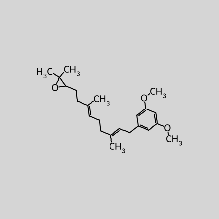 COc1cc(C/C=C(\C)CC/C=C(\C)CCC2OC2(C)C)cc(OC)c1